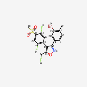 Cc1ccc(-c2noc(CF)c2-c2cc(F)c(S(C)(=O)=O)cc2F)cc1Br